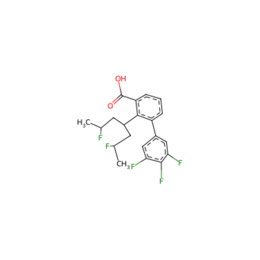 CC(F)CC(CC(C)F)c1c(C(=O)O)cccc1-c1cc(F)c(F)c(F)c1